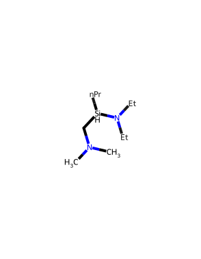 CCC[SiH](CN(C)C)N(CC)CC